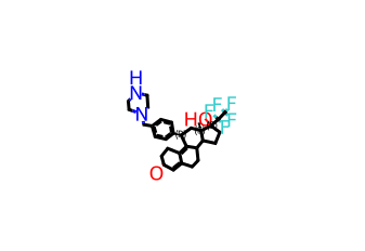 C[C@]12C[C@H](c3ccc(CN4CCNCC4)cc3)C3=C4CCC(=O)C=C4CCC3C1CC[C@@]2(O)C(F)(F)C(F)(F)F